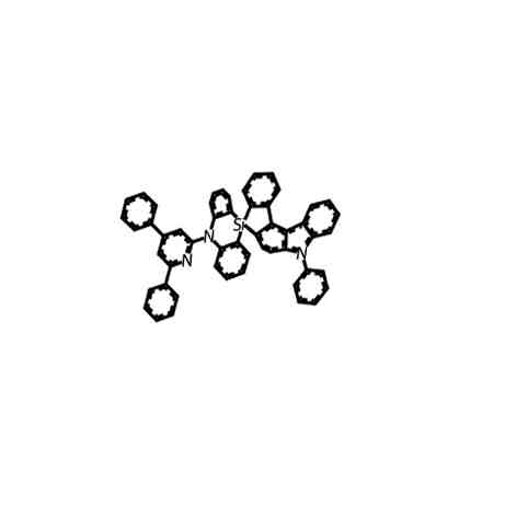 c1ccc(-c2cc(-c3ccccc3)nc(N3c4ccccc4[Si]4(c5ccccc5-c5c4ccc4c5c5ccccc5n4-c4ccccc4)c4ccccc43)c2)cc1